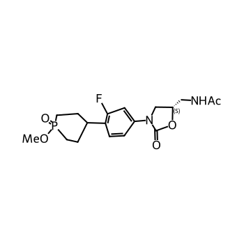 COP1(=O)CCC(c2ccc(N3C[C@H](CNC(C)=O)OC3=O)cc2F)CC1